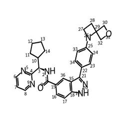 O=C(N[C@@H](c1ncccn1)C1CCCC1)c1ccc2[nH]nc(-c3ccc(N4CCC45COC5)cc3)c2c1